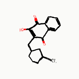 O=C1C(O)=C(CC2CCCC(C(F)(F)F)C2)C(=O)c2ccccc21